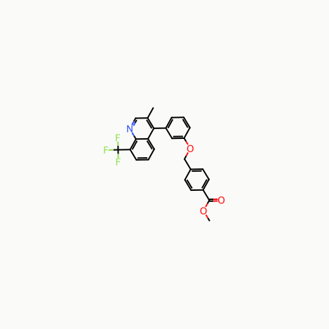 COC(=O)c1ccc(COc2cccc(-c3c(C)cnc4c(C(F)(F)F)cccc34)c2)cc1